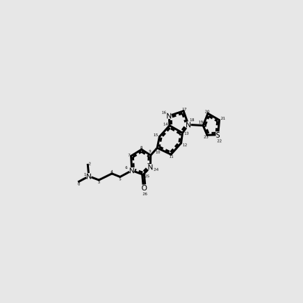 CN(C)CCCn1ccc(-c2ccc3c(c2)ncn3-c2ccsc2)nc1=O